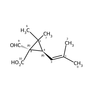 CC(C)=C[C@@H]1C(C)(C)[C@]1(C=O)C(=O)O